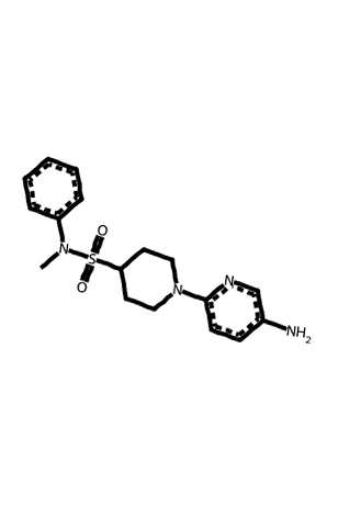 CN(c1ccccc1)S(=O)(=O)C1CCN(c2ccc(N)cn2)CC1